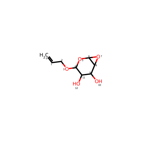 C=CCOC1OC2OC2C(O)C1O